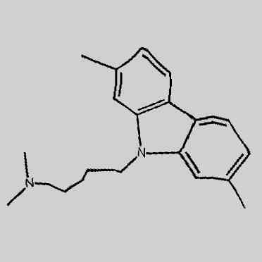 Cc1ccc2c3ccc(C)cc3n(CCCN(C)C)c2c1